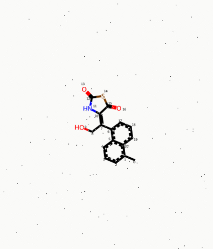 Cc1cccc2c(C(CO)=C3NC(=O)SC3=O)cccc12